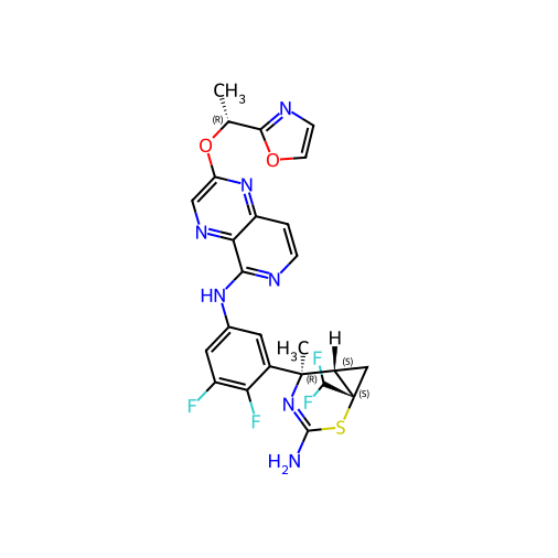 C[C@@H](Oc1cnc2c(Nc3cc(F)c(F)c([C@]4(C)N=C(N)S[C@@]5(C(F)F)C[C@@H]45)c3)nccc2n1)c1ncco1